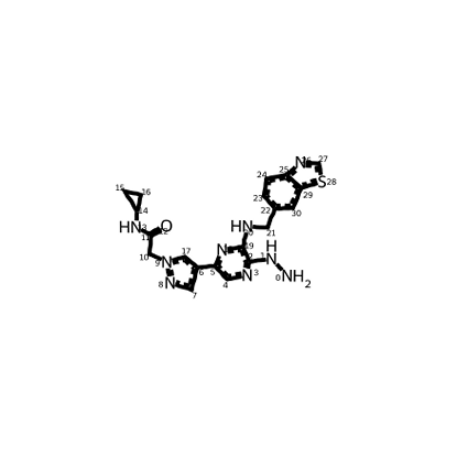 NNc1ncc(-c2cnn(CC(=O)NC3CC3)c2)nc1NCc1ccc2ncsc2c1